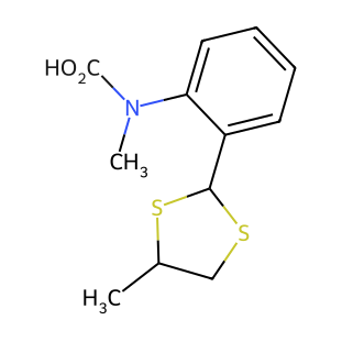 CC1CSC(c2ccccc2N(C)C(=O)O)S1